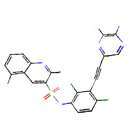 Cc1nc2cccc(Cl)c2cc1S(=O)(=O)Nc1ccc(F)c(C#Cc2cnc(N)c(C)n2)c1F